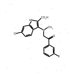 CN(CC(=O)c1cccc(F)c1)c1c(C(=O)O)[nH]c2cc(Cl)ccc12